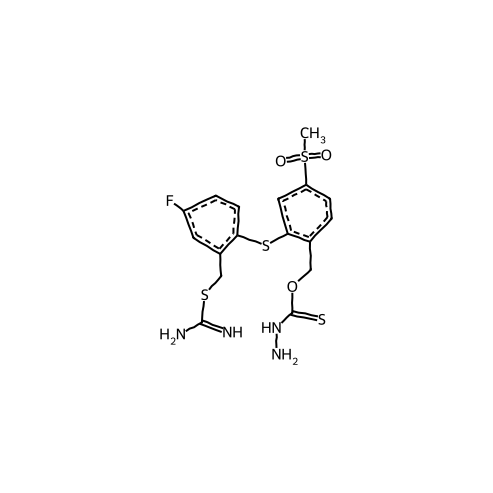 CS(=O)(=O)c1ccc(COC(=S)NN)c(Sc2ccc(F)cc2CSC(=N)N)c1